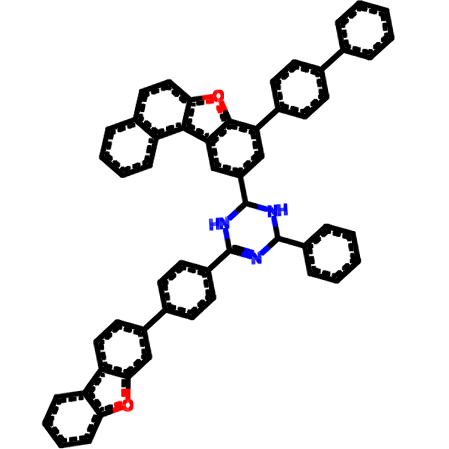 c1ccc(-c2ccc(-c3cc(C4NC(c5ccc(-c6ccc7c(c6)oc6ccccc67)cc5)=NC(c5ccccc5)N4)cc4c3oc3ccc5ccccc5c34)cc2)cc1